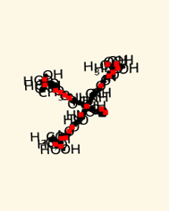 CC(=O)N[C@@H]1[C@@H](O)[C@@H](O)[C@@H](CO)O[C@@H]1c1cc(COCCOCCNC(=O)NCCCC(CCCNC(=O)NCCOCCOCc2cc([C@H]3O[C@H](CO)[C@H](O)[C@H](O)[C@H]3NC(C)=O)on2)(CCCNC(=O)NCCOCCOCc2cc([C@H]3O[C@H](CO)[C@H](O)[C@H](O)[C@H]3NC(C)=O)on2)NC(=O)OCc2ccccc2)no1